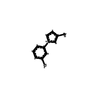 Clc1cccc(-n2ccc(Br)c2)c1